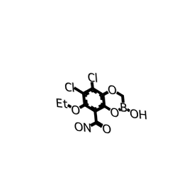 CCOc1c(Cl)c(Cl)c2c(c1C(=O)N=O)OB(O)CO2